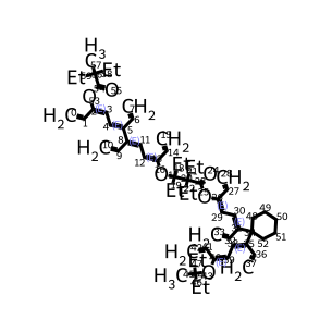 C=C\C(=C/C=C(C=C)/C(C=C)=C/C=C(\C=C)OC(CC)(CC)C(CC)(CC)C(=O)O/C(C=C)=C/C=C(\C=C)C1(/C(C=C)=C/C=C(\C=C)OC(C)(CC)CC)CCCCC1)OC(=O)C(C)(CC)CC